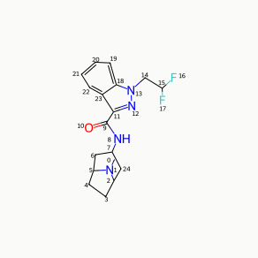 CN1C2CCC1CC(NC(=O)c1nn(CC(F)F)c3ccccc13)C2